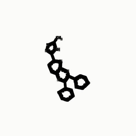 Cc1nnc(-c2ccc3nc(-c4ccccc4)c(-c4cc[c]cc4)nc3n2)[nH]1